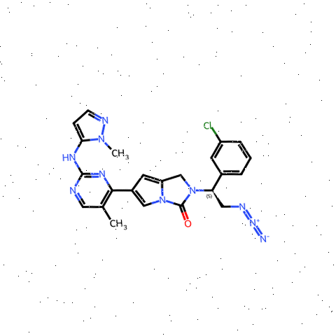 Cc1cnc(Nc2ccnn2C)nc1-c1cc2n(c1)C(=O)N([C@H](CN=[N+]=[N-])c1cccc(Cl)c1)C2